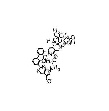 COc1nc(-c2cccc(-c3cccc(-c4ncc5c(C=O)cn(C)c5n4)c3Cl)c2Cl)ccc1CN(C[C@@H]1CCC(=O)N1)C(=O)OC(C)(C)C